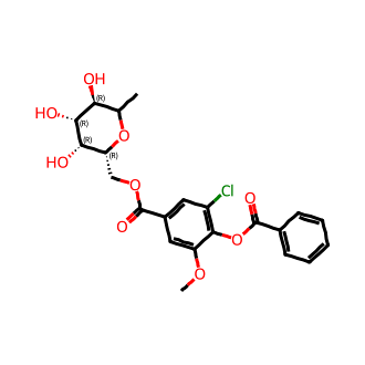 COc1cc(C(=O)OC[C@H]2OC(C)[C@H](O)[C@@H](O)[C@H]2O)cc(Cl)c1OC(=O)c1ccccc1